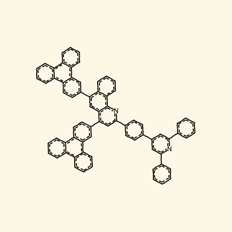 c1ccc(-c2cc(-c3ccc(-c4cc(-c5ccc6c7ccccc7c7ccccc7c6c5)c5cc(-c6ccc7c8ccccc8c8ccccc8c7c6)c6ccccc6c5n4)cc3)cc(-c3ccccc3)n2)cc1